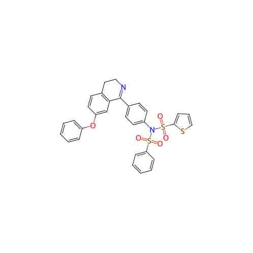 O=S(=O)(c1ccccc1)N(c1ccc(C2=NCCc3ccc(Oc4ccccc4)cc32)cc1)S(=O)(=O)c1cccs1